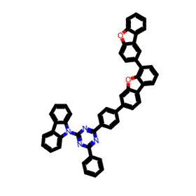 c1ccc(-c2nc(-c3ccc(-c4ccc5c(c4)oc4c(-c6ccc7oc8ccccc8c7c6)cccc45)cc3)nc(-n3c4ccccc4c4ccccc43)n2)cc1